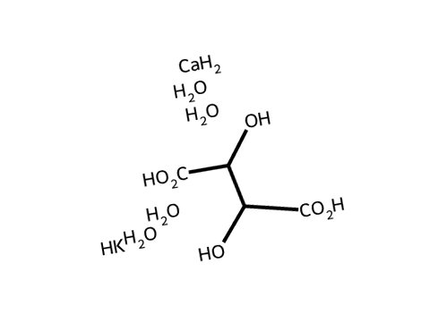 O.O.O.O.O=C(O)C(O)C(O)C(=O)O.[CaH2].[KH]